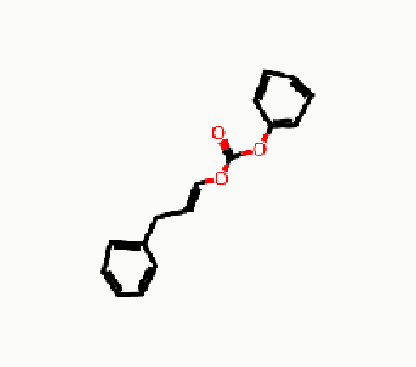 O=C(OC=CCc1ccccc1)Oc1ccccc1